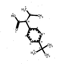 CC(C)[C@H](C(=O)O)c1cnc(C(C)(C)C)nc1